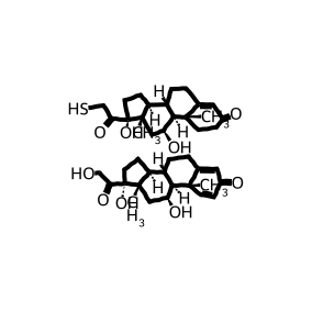 C[C@]12C=CC(=O)C=C1CC[C@@H]1[C@@H]2[C@@H](O)C[C@@]2(C)[C@H]1CC[C@]2(O)C(=O)CO.C[C@]12CCC(=O)C=C1CC[C@@H]1[C@@H]2[C@@H](O)C[C@@]2(C)[C@H]1CC[C@]2(O)C(=O)CS